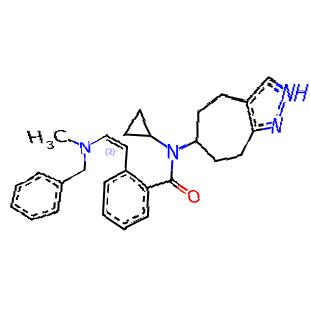 CN(/C=C\c1ccccc1C(=O)N(C1CCc2c[nH]nc2CC1)C1CC1)Cc1ccccc1